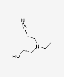 CCN(CCO)CCC#N